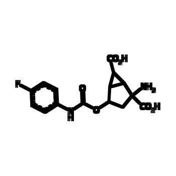 NC1(C(=O)O)CC(OC(=O)Nc2ccc(F)cc2)C2C(C(=O)O)C21